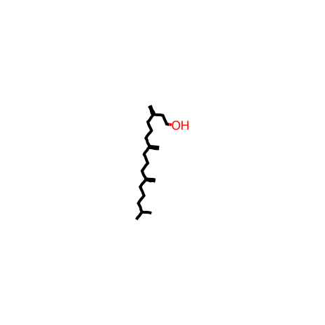 C=C(CCO)CCCC(=C)CCCC(=C)CCCC(C)C